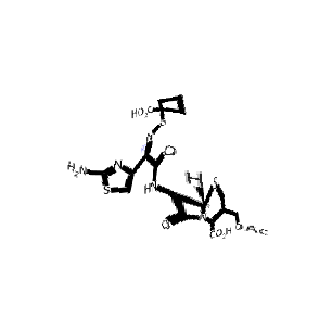 CC(=O)OCC1=C(C(=O)O)N2C(=O)C(NC(=O)/C(=N\OC3(C(=O)O)CCC3)c3csc(N)n3)[C@@H]2SC1